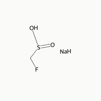 O=S(O)CF.[NaH]